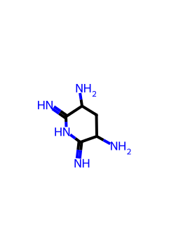 N=C1NC(=N)C(N)CC1N